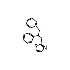 c1ccc(C[C](Cc2nccs2)c2ccccc2)cc1